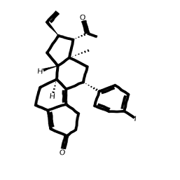 C=C[C@@H]1C[C@H]2[C@@H]3CCC4=CC(=O)CCC4=C3[C@@H](c3ccc(I)cc3)C[C@]2(C)[C@H]1C(C)=O